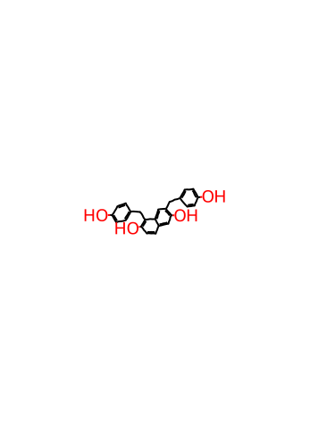 Oc1ccc(Cc2cc3c(Cc4ccc(O)cc4)c(O)ccc3cc2O)cc1